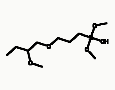 CCC(COCCC[Si](O)(OC)OC)OC